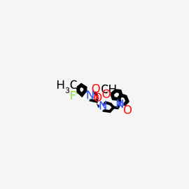 COc1ccc2ccc(=O)n(CC3CCN(C[C@@H]4CN(c5ccc(C)c(F)c5)C(=O)O4)CC3)c2c1